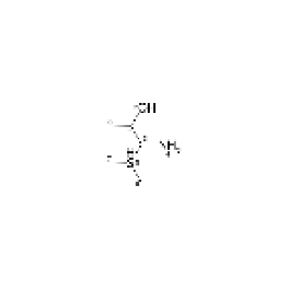 CC(O)[C@H](N)[SH](C)C